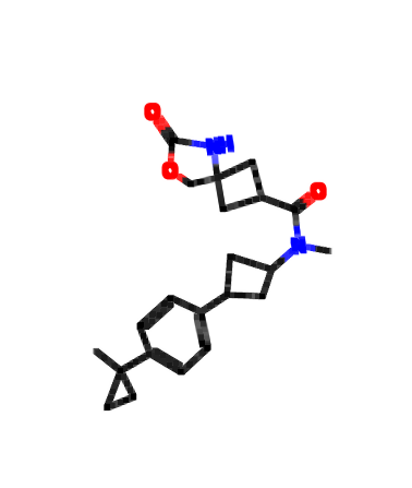 CN(C(=O)C1CC2(COC(=O)N2)C1)C1CC(c2ccc(C3(C)CC3)cc2)C1